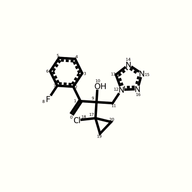 C=C(c1ccccc1F)C(O)(Cn1cnnn1)C1(Cl)CC1